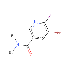 CCN(CC)C(=O)c1cnc(I)c(Br)c1